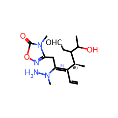 C=C/C(=C(/Cc1noc(=O)n1C)N(C)N)[C@H](C)C(CC=O)C(C)O